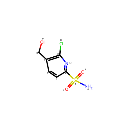 NS(=O)(=O)c1ccc(CO)c(Cl)n1